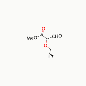 COC(=O)C(C=O)OCC(C)C